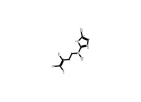 [O-][S+](CCC(F)=C(F)F)c1ncc(Cl)s1